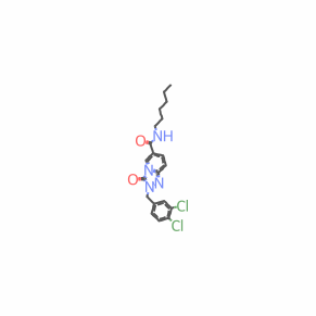 CCCCCCNC(=O)c1ccc2nn(Cc3ccc(Cl)c(Cl)c3)c(=O)n2c1